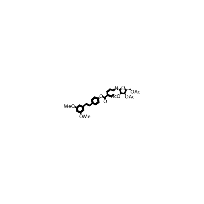 C\C=C(/C=C\C=N\[C@@H]1O[C@H](COC(C)=O)[C@@H](OC(C)=O)[C@H]1OC(C)=O)C(=O)Oc1ccc(/C=C/c2cc(OC)cc(OC)c2)cc1